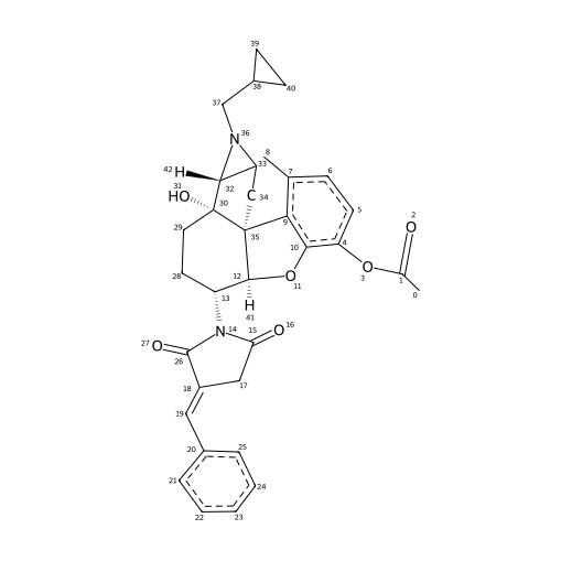 CC(=O)Oc1ccc(C)c2c1O[C@H]1[C@H](N3C(=O)C/C(=C\c4ccccc4)C3=O)CC[C@@]3(O)[C@H]4C(C[C@]213)N4CC1CC1